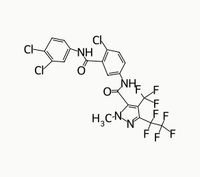 Cn1nc(C(F)(F)C(F)(F)F)c(C(F)(F)F)c1C(=O)Nc1ccc(Cl)c(C(=O)Nc2ccc(Cl)c(Cl)c2)c1